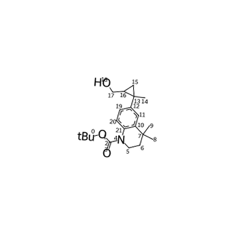 CC(C)(C)OC(=O)N1CCC(C)(C)c2cc(C3(C)CC3CO)ccc21